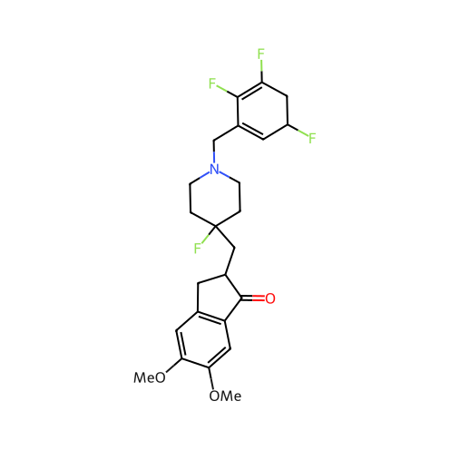 COc1cc2c(cc1OC)C(=O)C(CC1(F)CCN(CC3=CC(F)CC(F)=C3F)CC1)C2